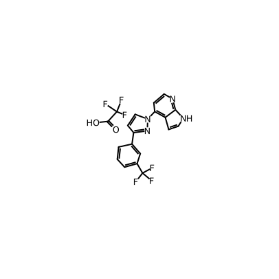 FC(F)(F)c1cccc(-c2ccn(-c3ccnc4[nH]ccc34)n2)c1.O=C(O)C(F)(F)F